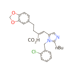 CCCCc1ncc(C=C(CCc2ccc3c(c2)OCO3)C(=O)O)n1Cc1ccccc1Cl